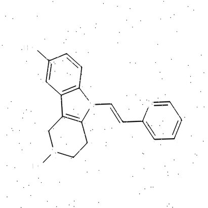 Cc1ccc2c(c1)c1c(n2/C=C/c2ccccn2)CCN(C)C1